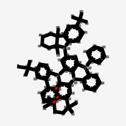 CC(C)(C)c1ccc(N2c3cc4c(cc3B3c5ccccc5N(c5ccccc5)c5cc(N6c7ccc(C(C)(C)C)cc7C7(C)CCCCC67C)cc2c53)C(C)(C)CCC4(C)C)c(-c2ccccc2)c1